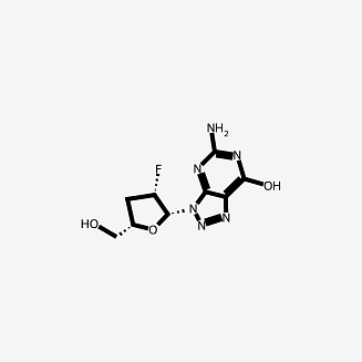 Nc1nc(O)c2nnn([C@@H]3O[C@H](CO)C[C@@H]3F)c2n1